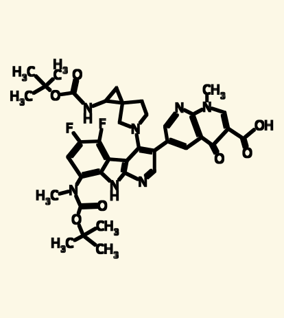 CN(C(=O)OC(C)(C)C)c1cc(F)c(F)c2c1[nH]c1ncc(-c3cnc4c(c3)c(=O)c(C(=O)O)cn4C)c(N3CCC4(CC4NC(=O)OC(C)(C)C)C3)c12